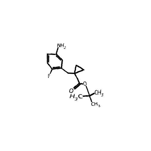 CC(C)(C)OC(=O)C1(Cc2cc(N)ccc2F)CC1